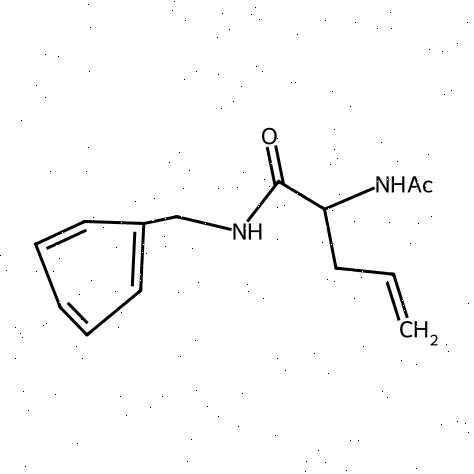 C=CCC(NC(C)=O)C(=O)NCc1ccccc1